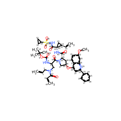 C=CCN(CC(NC(=O)OC(C)(C)C)C(=O)N1C[C@H](Oc2cc(-c3ccccc3)nc3cc(OC)ccc23)C[C@H]1C(=O)N[C@]1(C(=O)NS(=O)(=O)C2CC2)C[C@H]1C=C)C(=O)C=C